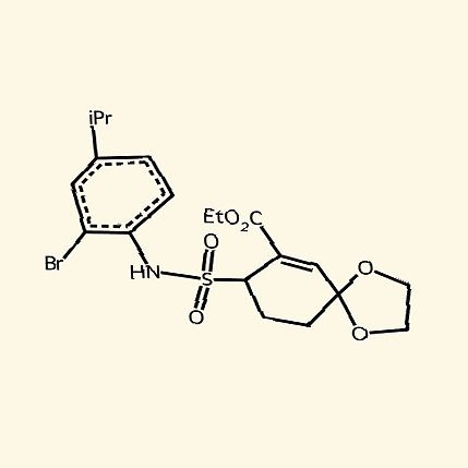 CCOC(=O)C1=CC2(CCC1S(=O)(=O)Nc1ccc(C(C)C)cc1Br)OCCO2